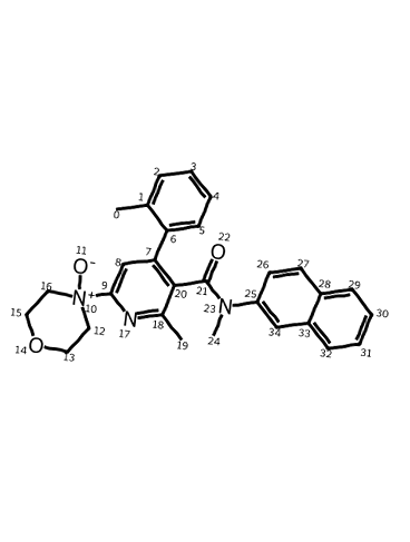 Cc1ccccc1-c1cc([N+]2([O-])CCOCC2)nc(C)c1C(=O)N(C)c1ccc2ccccc2c1